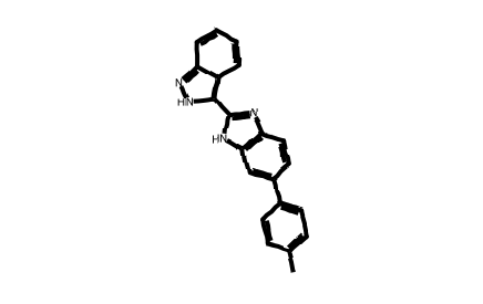 Cc1ccc(-c2ccc3nc(C4NN=C5C=CC=CC54)[nH]c3c2)cc1